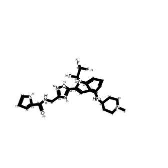 CN1CCC(Nc2cccc3c2cc(-c2nc(CNC(=O)c4cccs4)no2)n3C(F)C(F)F)CC1